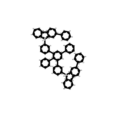 c1ccc(-c2cc(-c3cccc(-n4c5ccccc5c5ccc(-c6ccccc6)cc54)c3)c(-c3ccccc3)c(-c3cccc(-n4c5ccccc5c5ccc(-c6ccccc6)cc54)c3)c2)cc1